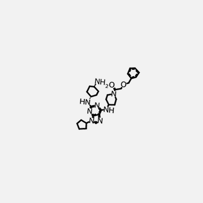 N[C@H]1CC[C@H](Nc2nc(NC3CCN(C(=O)COCc4ccccc4)CC3)c3ncn(C4CCCC4)c3n2)CC1